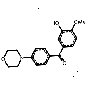 COc1ccc(C(=O)c2ccc(N3CCOCC3)cc2)cc1O